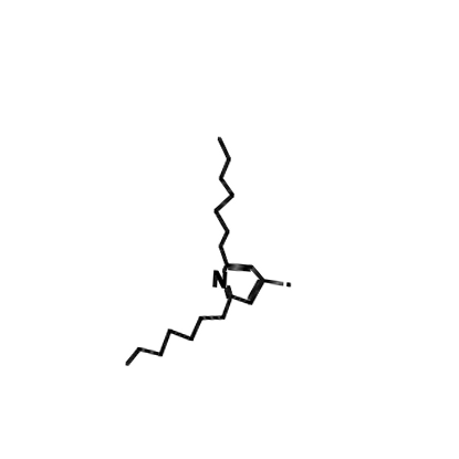 [CH2]c1cc(CCCCCCC)nc(CCCCCCC)c1